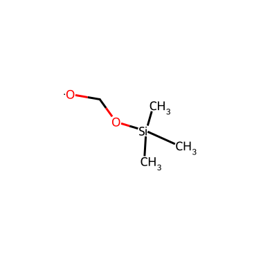 C[Si](C)(C)OC[O]